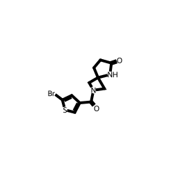 O=C1CCC2(CN(C(=O)c3csc(Br)c3)C2)N1